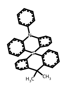 CC1(C)c2ccccc2S2(c3ccccc3N(c3ccccc3)c3ccccc32)c2ccccc21